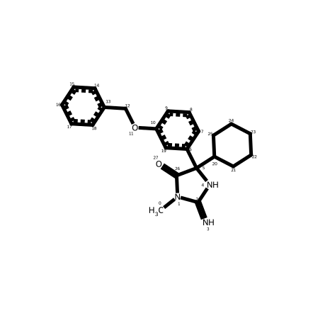 CN1C(=N)NC(c2cccc(OCc3ccccc3)c2)(C2CCCCC2)C1=O